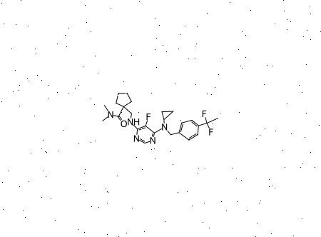 CN(C)C(=O)C1(CNc2ncnc(N(Cc3ccc(C(C)(F)F)cc3)C3CC3)c2F)CCCC1